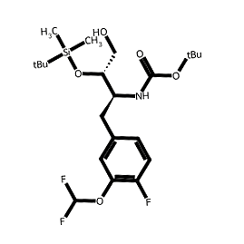 CC(C)(C)OC(=O)N[C@@H](Cc1ccc(F)c(OC(F)F)c1)[C@@H](CO)O[Si](C)(C)C(C)(C)C